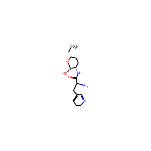 NC(CC1=CCCN=C1)C(=O)N[C@H]1CC[C@@H](CC(=O)O)OB1O